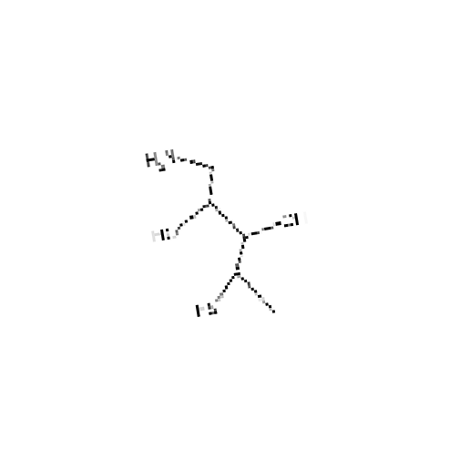 CC(S)C(O)C(O)CN